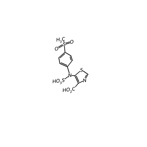 CS(=O)(=O)c1ccc(N(c2scnc2C(=O)O)S(=O)(=O)O)cc1